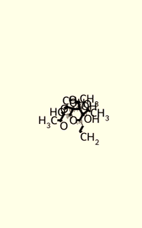 C=CC[C@@H]1O[C@H](C(O)C(C)=O)[C@](O)(C(C)=O)[C@@](O)(C(C)=O)[C@]1(O)C(C)=O